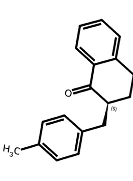 Cc1ccc(C[C@@H]2CCc3ccccc3C2=O)cc1